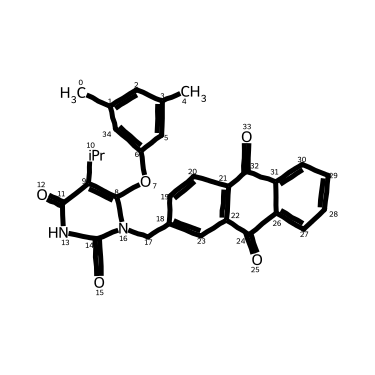 Cc1cc(C)cc(Oc2c(C(C)C)c(=O)[nH]c(=O)n2Cc2ccc3c(c2)C(=O)c2ccccc2C3=O)c1